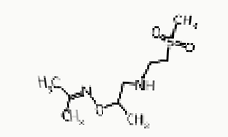 CC(C)=NOC(C)CNCCS(C)(=O)=O